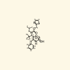 CC(C)CN(C(=O)OCc1nccs1)C([C@H](O)[C@H](Cc1ccccc1)NC(=O)O)C(C)(C)C